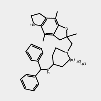 Cc1c2c(c(C)c3c1NCC3)OC(C)(CN1CCC(NC(c3ccccc3)c3ccccc3)CC1)C2.Cl.Cl.Cl